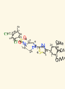 COc1cc(-c2csc(N3CCN(S(=O)(=O)c4cc(C)c(Cl)cc4Cl)CC3)n2)cc(OC)c1OC